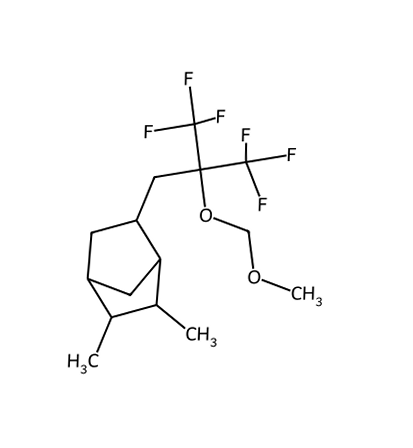 COCOC(CC1CC2CC1C(C)C2C)(C(F)(F)F)C(F)(F)F